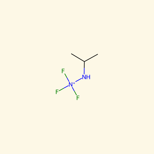 CC(C)N[N+](F)(F)F